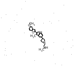 CNCCN1CCC(c2ccc3[nH]c(-c4cc5cc(OC)ccc5o4)c(C)c3c2)CC1